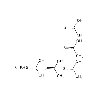 CC(O)=S.CC(O)=S.CC(O)=S.CC(O)=S.CC(O)=S.[KH].[KH]